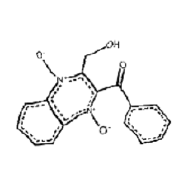 O=C(c1ccccc1)c1c(CO)[n+]([O-])c2ccccc2[n+]1[O-]